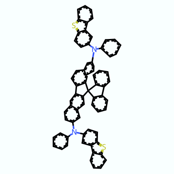 c1ccc(N(c2ccc3cc4c(cc3c2)C2(c3ccccc3-c3ccccc32)c2c-4ccc3cc(N(c4ccccc4)c4ccc5sc6ccccc6c5c4)ccc23)c2ccc3sc4ccccc4c3c2)cc1